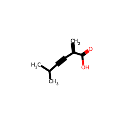 C=C(C#CC(C)C)C(=O)O